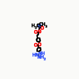 CN(C)C(=O)COC(=O)C=Cc1ccc(OC(=O)c2ccc(NC(=N)N)cc2)cc1